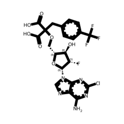 Nc1nc(Cl)nc2c1ncn2[C@@H]1O[C@H](COC(Cc2ccc(C(F)(F)F)cc2)(C(=O)O)C(=O)O)[C@@H](O)[C@@H]1F